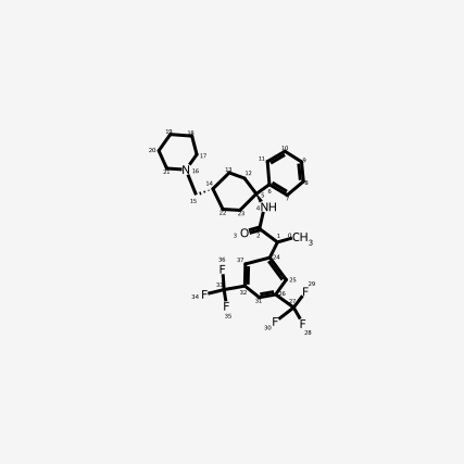 CC(C(=O)N[C@]1(c2ccccc2)CC[C@@H](CN2CCCCC2)CC1)c1cc(C(F)(F)F)cc(C(F)(F)F)c1